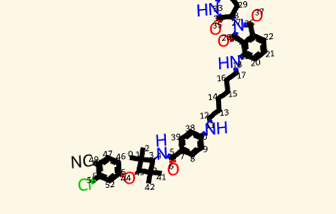 CC1(C)[C@H](NC(=O)c2ccc(NCCCCCCNc3cccc4c3C(=O)N(C3CCC(=O)NC3=O)C4=O)cc2)C(C)(C)[C@H]1Oc1ccc(C#N)c(Cl)c1